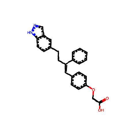 O=C(O)COc1ccc(/C=C(/CCc2ccc3[nH]ncc3c2)c2ccccc2)cc1